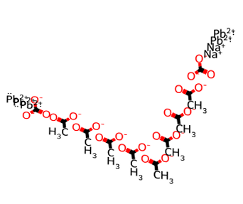 CC(=O)[O-].CC(=O)[O-].CC(=O)[O-].CC(=O)[O-].CC(=O)[O-].CC(=O)[O-].CC(=O)[O-].CC(=O)[O-].O=C([O-])[O-].O=C([O-])[O-].[Na+].[Na+].[Pb+2].[Pb+2].[Pb+2].[Pb+2].[Pb+2]